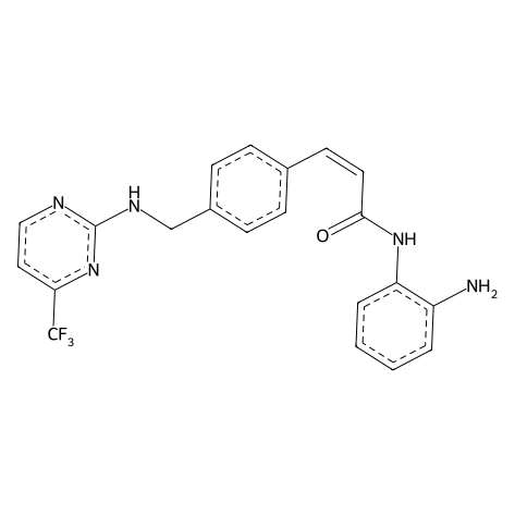 Nc1ccccc1NC(=O)/C=C\c1ccc(CNc2nccc(C(F)(F)F)n2)cc1